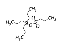 CCC[Si](CCC)(CCC)OS(=O)(=O)CCC